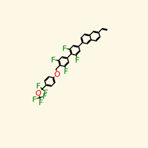 C=Cc1ccc2cc(-c3cc(F)c(-c4cc(F)c(COc5ccc(C(F)(F)OC(F)(F)F)cc5)c(F)c4)c(F)c3)ccc2c1